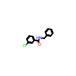 O=C(NCc1ccccc1)c1cccc(Cl)c1